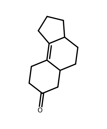 O=C1CCC2=C3CCCC3CCC2C1